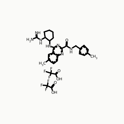 Cc1ccc(CNC(=O)c2nc(NC3CCCCC3NC(=N)N)c3cc(C)ccc3n2)cc1.O=C(O)C(F)(F)F.O=C(O)C(F)(F)F